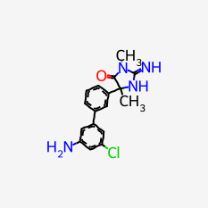 CN1C(=N)NC(C)(c2cccc(-c3cc(N)cc(Cl)c3)c2)C1=O